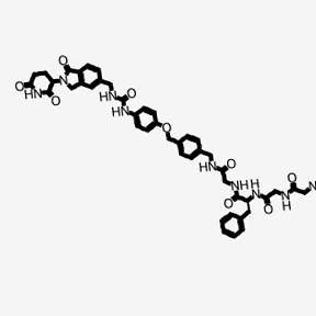 NCC(=O)NCC(=O)N[C@@H](Cc1ccccc1)C(=O)NCC(=O)NCc1ccc(COc2ccc(NC(=O)NCc3ccc4c(c3)CN(C3CCC(=O)NC3=O)C4=O)cc2)cc1